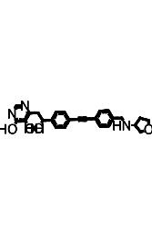 Oc1ncnc(CC(O)c2ccc(C#Cc3ccc(CN[C@@H]4CCOC4)cc3)cc2)c1O